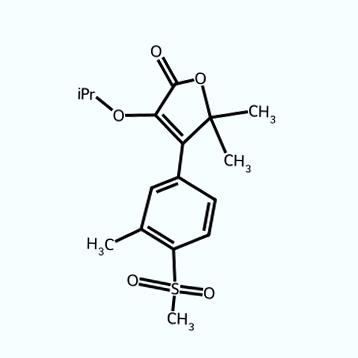 Cc1cc(C2=C(OC(C)C)C(=O)OC2(C)C)ccc1S(C)(=O)=O